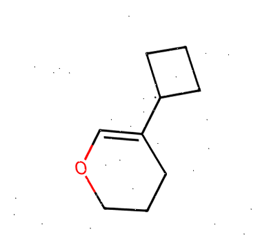 C1=C([C]2CCC2)CCCO1